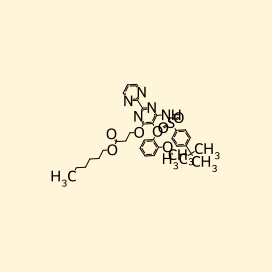 CCCCCCOC(=O)CCOc1nc(-c2ncccn2)nc(NS(=O)(=O)c2ccc(C(C)(C)C)cc2)c1Oc1ccccc1OC